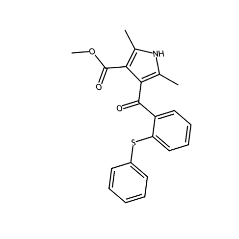 COC(=O)c1c(C)[nH]c(C)c1C(=O)c1ccccc1Sc1ccccc1